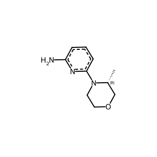 C[C@@H]1COCCN1c1cccc(N)n1